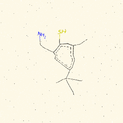 Cc1cc(C(C)(C)C)cc(CN)c1S